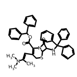 C/C(=C\C1=C(C(=O)OC(c2ccccc2)c2ccccc2)N2C(=O)C(NC(c3ccccc3)(c3ccccc3)c3ccccc3)C2SC1)N(C)C